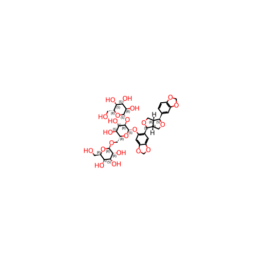 OC[C@H]1O[C@@H](OC[C@H]2O[C@@H](Oc3cc4c(cc3[C@H]3OC[C@H]5[C@@H]3CO[C@@H]5c3ccc5c(c3)OCO5)OCO4)[C@H](O[C@@H]3O[C@H](CO)[C@@H](O)[C@H](O)[C@H]3O)[C@@H](O)[C@@H]2O)[C@H](O)[C@@H](O)[C@@H]1O